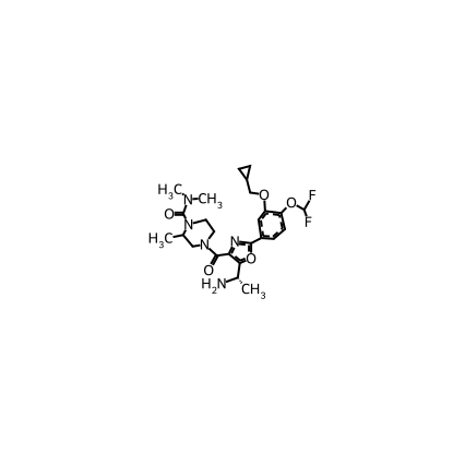 CC1CN(C(=O)c2nc(-c3ccc(OC(F)F)c(OCC4CC4)c3)oc2[C@H](C)N)CCN1C(=O)N(C)C